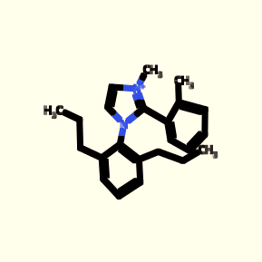 CCCc1cccc(CCC)c1-n1cc[n+](C)c1-c1ccccc1C